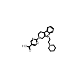 O=C(O)c1cnc(N2CCc3c(n(CCN4CCCCC4)c4ccccc34)C2)nc1